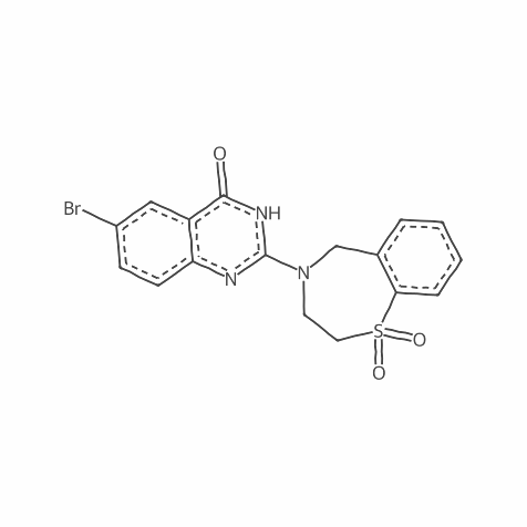 O=c1[nH]c(N2CCS(=O)(=O)c3ccccc3C2)nc2ccc(Br)cc12